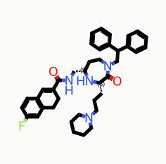 O=C(NC[C@@H]1CCN(CC(c2ccccc2)c2ccccc2)C(=O)[C@H](CCCN2CCCCC2)N1)C1=Cc2ccc(F)cc2CC1